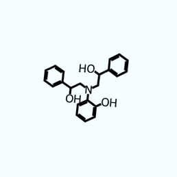 Oc1ccccc1N(CC(O)c1ccccc1)CC(O)c1ccccc1